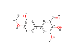 COc1cc(-c2ccc3c(c2)OCCO3)cc(C=O)c1O